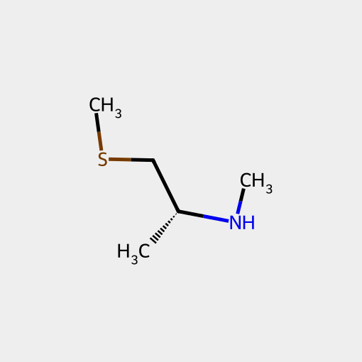 CN[C@H](C)CSC